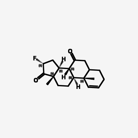 C[C@]12C=CCCC1CC(=O)[C@@H]1[C@@H]2CC[C@]2(C)C(=O)[C@H](F)C[C@@H]12